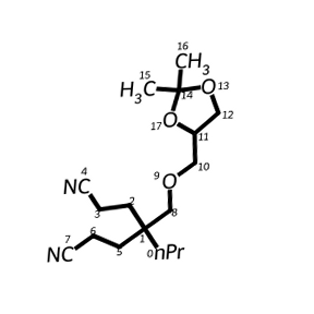 CCCC(CCC#N)(CCC#N)COCC1COC(C)(C)O1